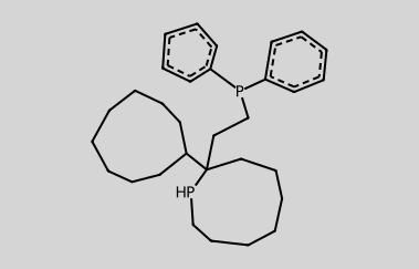 c1ccc(P(CCC2(C3CCCCCCCC3)CCCCCCCP2)c2ccccc2)cc1